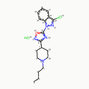 CCCCN1CCC(c2noc(-n3nc(Cl)c4ccccc43)n2)CC1.Cl